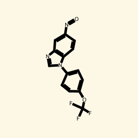 O=Nc1ccc2c(c1)ncn2-c1ccc(OC(F)(F)F)cc1